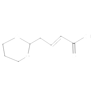 CC(=O)/C=C/CC1OCCCO1